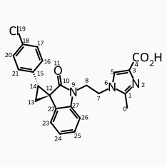 Cc1nc(C(=O)O)cn1CCN1C(=O)[C@]2(C[C@@H]2c2ccc(Cl)cc2)c2ccccc21